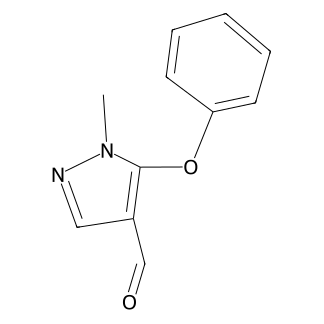 Cn1ncc(C=O)c1Oc1ccccc1